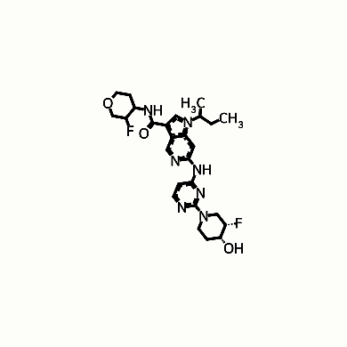 CCC(C)n1cc(C(=O)NC2CCOCC2F)c2cnc(Nc3ccnc(N4CC[C@@H](O)[C@@H](F)C4)n3)cc21